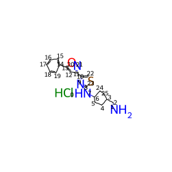 Cl.NCC1CCC(Nc2nc(-c3cc(-c4ccccc4)on3)cs2)CC1